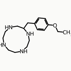 CCOc1ccc(CC2CNCCNCCNCCN2)cc1